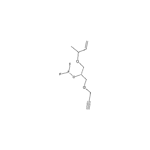 C#CCOCC(COC(C)C=C)OP(F)F